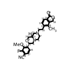 COc1c([C@@H]2CN3CCN(CCc4ccc5c(c4C)COC5=O)C[C@H]3CO2)ccc(C#N)c1F